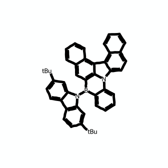 CC(C)(C)c1ccc2c3ccc(C(C)(C)C)cc3n(B3c4ccccc4-n4c5ccc6ccccc6c5c5c6ccccc6cc3c54)c2c1